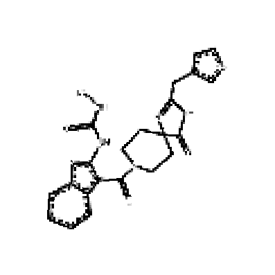 CCNC(=O)Nc1sc2ccccc2c1C(=O)N1CCC2(CC1)N=C(Cc1ccoc1)NC2=O